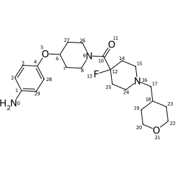 Nc1ccc(OC2CCN(C(=O)C3(F)CCN(CC4CCOCC4)CC3)CC2)cc1